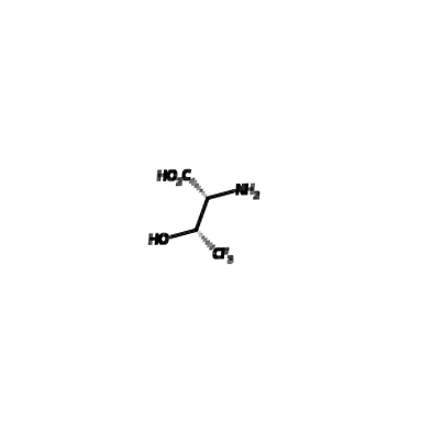 N[C@@H](C(=O)O)[C@@H](O)C(F)(F)F